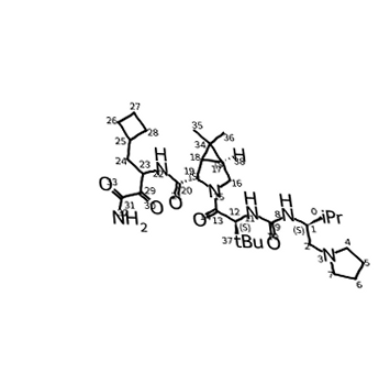 CC(C)[C@@H](CN1CCCC1)NC(=O)N[C@H](C(=O)N1C[C@H]2C([C@H]1C(=O)NC(CC1CCC1)C(=O)C(N)=O)C2(C)C)C(C)(C)C